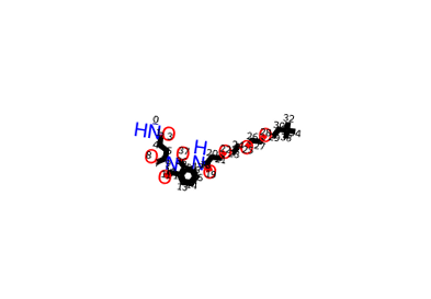 CNC(=O)CCC(C=O)N1C(=O)c2cccc(NC(=O)CCOCCOCCOCCC(C)(C)C)c2C1=O